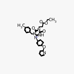 CCOC(=O)CCn1c(=O)[nH]/c(=N\c2ccc(Oc3ccccn3)cc2)n(Cc2ccc(C)cc2)c1=O